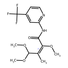 CO/C(C(=O)Nc1cc(C(F)(F)F)ccn1)=C(\C)C(OC)OC